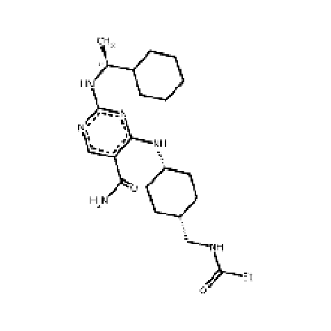 CCC(=O)NC[C@H]1CC[C@@H](Nc2nc(N[C@@H](C)C3CCCCC3)ncc2C(N)=O)CC1